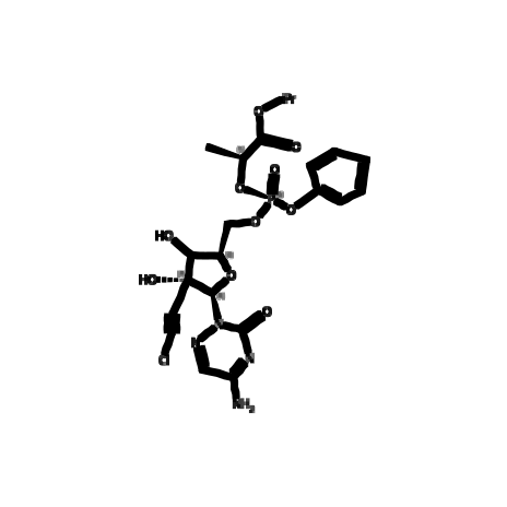 CC(C)OC(=O)[C@H](C)O[P@](=O)(OC[C@H]1O[C@@H](n2ncc(N)nc2=O)[C@@](O)(C#CCl)C1O)Oc1ccccc1